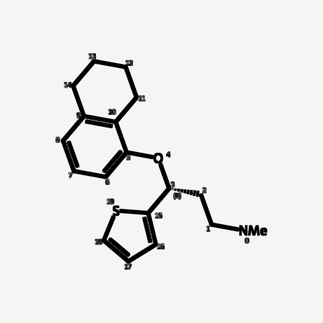 CNCC[C@@H](Oc1cccc2c1CCCC2)c1cccs1